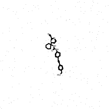 N#Cc1nccc(C2(NC(=O)Nc3ccc(C#Cc4ccc(CO)cc4)cc3)CCCCC2)n1